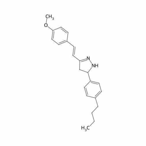 CCCCc1ccc(C2CC(C=Cc3ccc(OC)cc3)=NN2)cc1